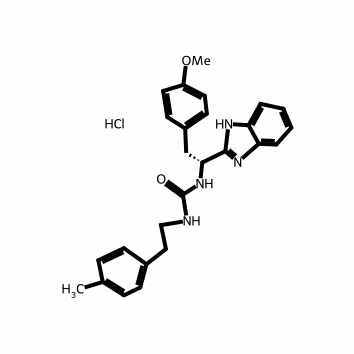 COc1ccc(C[C@@H](NC(=O)NCCc2ccc(C)cc2)c2nc3ccccc3[nH]2)cc1.Cl